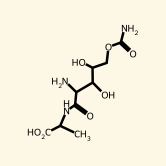 CC(NC(=O)C(N)C(O)C(O)COC(N)=O)C(=O)O